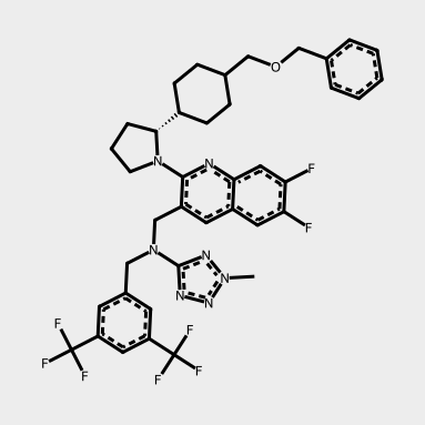 Cn1nnc(N(Cc2cc(C(F)(F)F)cc(C(F)(F)F)c2)Cc2cc3cc(F)c(F)cc3nc2N2CCC[C@@H]2C2CCC(COCc3ccccc3)CC2)n1